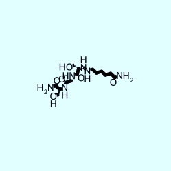 NC(=O)CCCCCNN[C@@H](CO)C(=O)NCC(=O)N[C@@H](CO)C(N)=O